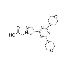 O=C(O)Cn1cc(-c2nc(N3CCOCC3)nc(N3CCOCC3)n2)cn1